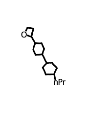 CCCC1CCC(C2CCC(C3CCO3)CC2)CC1